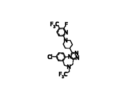 Fc1nc(N2CCC(c3nnc4n3-c3ccc(Cl)cc3CN(CC(F)(F)F)C4)CC2)ccc1C(F)(F)F